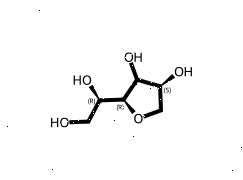 OC[C@@H](O)[C@@H]1OC[C@H](O)[C]1O